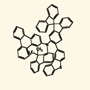 CC1(C)c2ccccc2-c2cccc(N(c3ccc4c5ccccc5c5ccccc5c4c3)c3cc4c(cc3-c3ccc5sc6ccccc6c5c3)-c3ccccc3C43c4ccccc4-c4ccccc43)c21